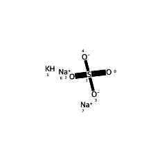 O=S(=O)([O-])[O-].[KH].[Na+].[Na+]